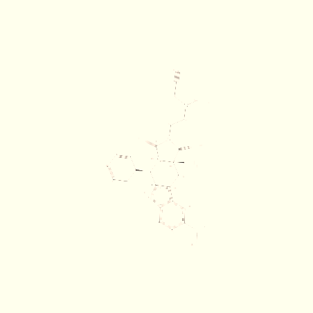 C#CCN(C)CCN1C(=O)N2[C@H](C3C=CC=CC3)c3[nH]c4ccc(OCC)cc4c3C[C@@]2(C)C1=O